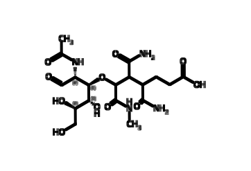 CNC(=O)C(O[C@@H]([C@H](O)[C@H](O)CO)[C@H](C=O)NC(C)=O)C(C(N)=O)C(CCC(=O)O)C(N)=O